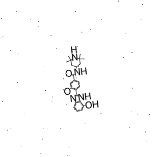 COc1cc(C(=O)NC2CC(C)(C)NC(C)(C)C2)ccc1-c1nc2cccc(O)c2[nH]1